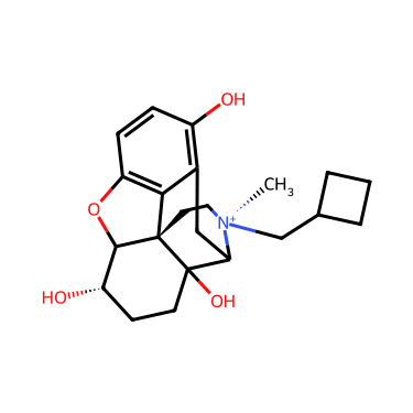 C[N@@+]1(CC2CCC2)CC[C@@]23c4c5ccc(O)c4CC1C2(O)CC[C@H](O)C3O5